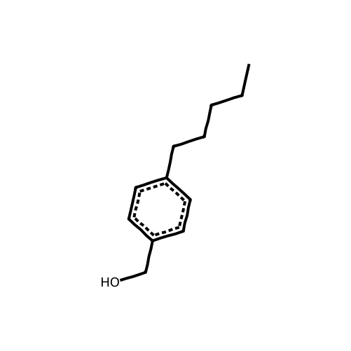 CCCCCc1ccc(CO)cc1